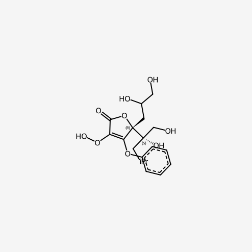 CC(C)C[C@](O)(CO)[C@@]1(CC(O)CO)OC(=O)C(OO)=C1Oc1ccccc1